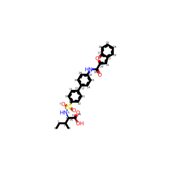 CCC(C)[C@@H](NS(=O)(=O)c1ccc(-c2ccc(NC(=O)c3cc4ccccc4o3)cc2)cc1)C(=O)O